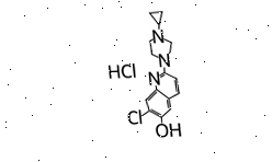 Cl.Oc1cc2ccc(N3CCN(C4CC4)CC3)nc2cc1Cl